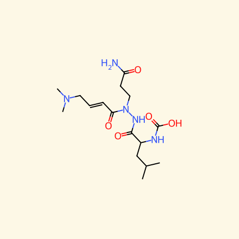 CC(C)CC(NC(=O)O)C(=O)NN(CCC(N)=O)C(=O)C=CCN(C)C